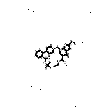 CCOC(=O)c1cn(Cc2ccc(-c3ccccc3C(=O)OC(C)(C)C)cc2)c2sc(CC)cc2c1=O